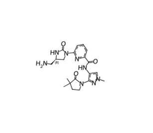 Cn1cc(NC(=O)c2cccc(N3C[C@@H](CN)NC3=O)n2)c(N2CCC(C)(C)C2=O)n1